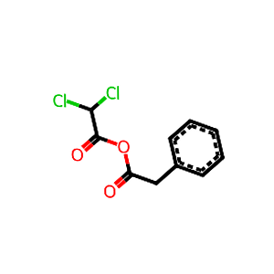 O=C(Cc1ccccc1)OC(=O)C(Cl)Cl